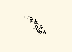 Cc1ccc(COc2nc(-c3cc(F)c(Cc4nc5c(F)cc(C(=O)O)cc5n4C[C@@H]4CCO4)cc3F)ncc2F)c(F)c1